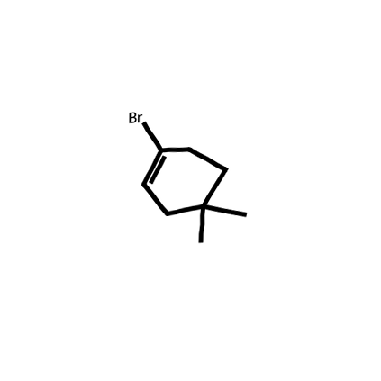 CC1(C)CC=C(Br)CC1